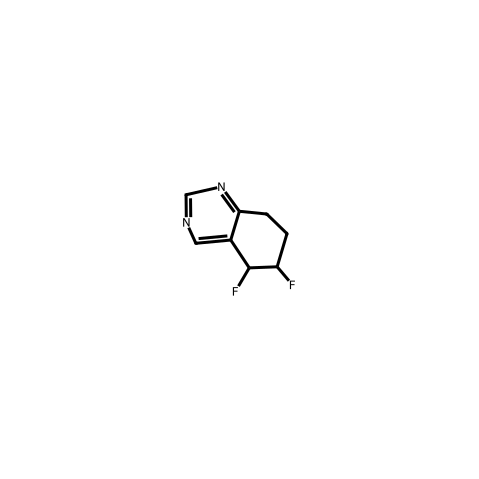 FC1CCc2ncncc2C1F